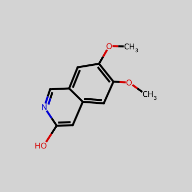 COc1cc2cnc(O)cc2cc1OC